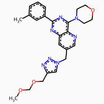 COCOCc1cn(Cc2cnc3c(N4CCOCC4)nc(-c4cccc(C)c4)nc3c2)nn1